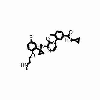 CNCCOc1ccc(F)cc1C1(Nc2nccn(-c3cc(C(=O)NC4CC4)ccc3C)c2=O)CC1